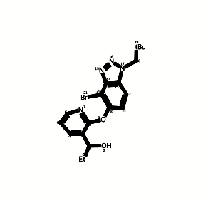 CCC(O)c1cccnc1Oc1ccc2c(nnn2CC(C)(C)C)c1Br